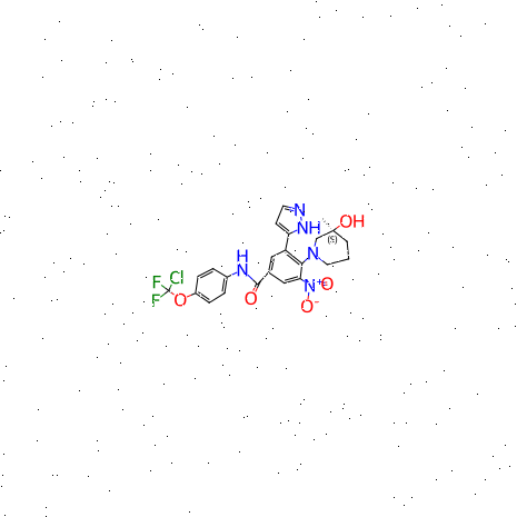 C[C@]1(O)CCCN(c2c(-c3ccn[nH]3)cc(C(=O)Nc3ccc(OC(F)(F)Cl)cc3)cc2[N+](=O)[O-])C1